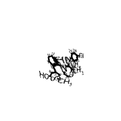 COCC(CC(=O)O)c1ccccc1N1CCOC(C)(C)C1Nc1ccc(Cl)cc1